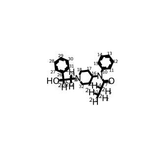 [2H]C([2H])([2H])C([2H])([2H])C(=O)N(c1ccccc1)C1CCN(C([2H])([2H])C([2H])(O)c2ccccc2)CC1